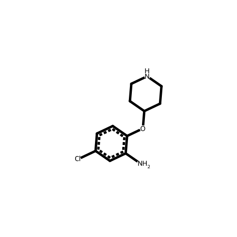 Nc1cc(Cl)ccc1OC1CCNCC1